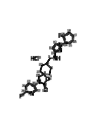 Cl.O=C1OC2(CCC(CNc3ccn(-c4ccccc4F)n3)CC2)CN1c1ccc(F)nc1